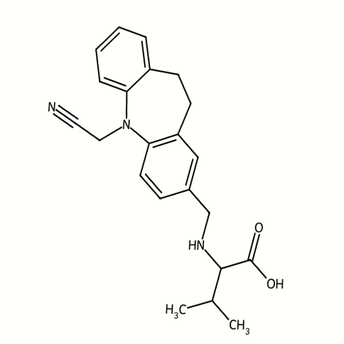 CC(C)C(NCc1ccc2c(c1)CCc1ccccc1N2CC#N)C(=O)O